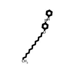 CCCCCCCCCCCCCCOc1ccc(N=Nc2ccccc2)cc1